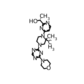 C[C@@H](O)c1nccc(N2CCN(c3ncnc(N4CCOCC4)n3)CC2(C)C)n1